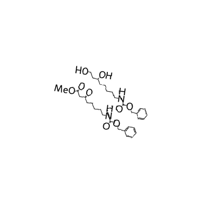 COC(=O)CC(=O)CCCCCNC(=O)OCc1ccccc1.O=C(NCCCCCC(O)CCO)OCc1ccccc1